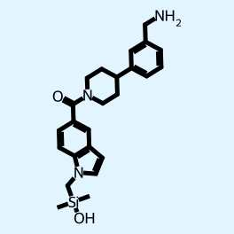 C[Si](C)(O)Cn1ccc2cc(C(=O)N3CCC(c4cccc(CN)c4)CC3)ccc21